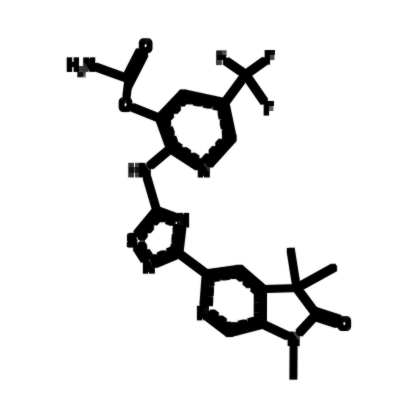 CN1C(=O)C(C)(C)c2cc(-c3nsc(Nc4ncc(C(F)(F)F)cc4OC(N)=O)n3)ncc21